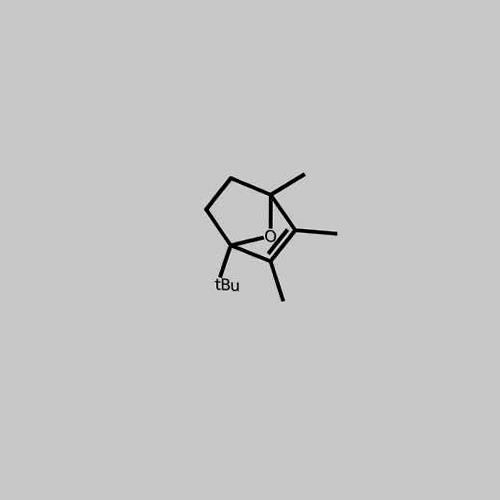 CC1=C(C)C2(C(C)(C)C)CCC1(C)O2